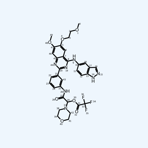 COCCOc1cc2c(Nc3ccc4[nH]ncc4c3)nc(-c3cccc(NC(=O)C(OC(=O)C(F)(F)F)N4CCOCC4)c3)nc2cc1OC